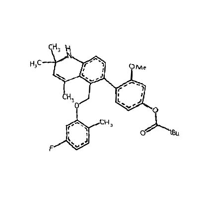 COc1cc(OC(=O)C(C)(C)C)ccc1-c1ccc2c(c1COc1cc(F)ccc1C)C(C)=CC(C)(C)N2